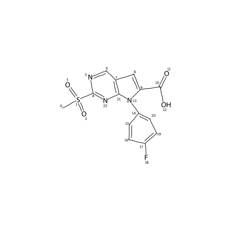 CS(=O)(=O)c1ncc2cc(C(=O)O)n(-c3ccc(F)cc3)c2n1